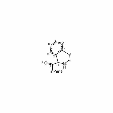 CCCC[CH]C(=O)C1NCCc2ccccc21